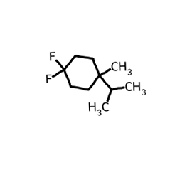 CC(C)C1(C)CCC(F)(F)CC1